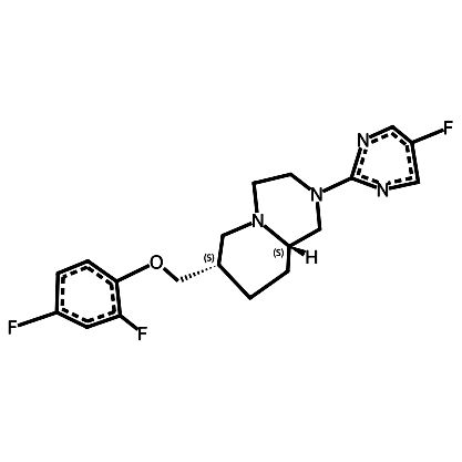 Fc1cnc(N2CCN3C[C@@H](COc4ccc(F)cc4F)CC[C@H]3C2)nc1